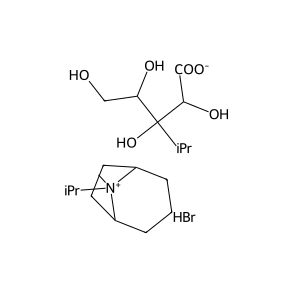 Br.CC(C)C(O)(C(O)CO)C(O)C(=O)[O-].CC(C)[N+]1(C)C2CCCC1CC2